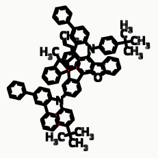 C=C/C=C\C1=C(C)c2ccccc2C12c1cc(N(c3ccc(C(C)(C)C)cc3)c3ccc(-c4ccccc4)cc3-c3ccccc3)ccc1-c1c2cc(N(c2ccc(C(C)(C)C)cc2)c2ccc(-c3ccccc3)cc2-c2ccccc2)c2c1oc1ccccc12